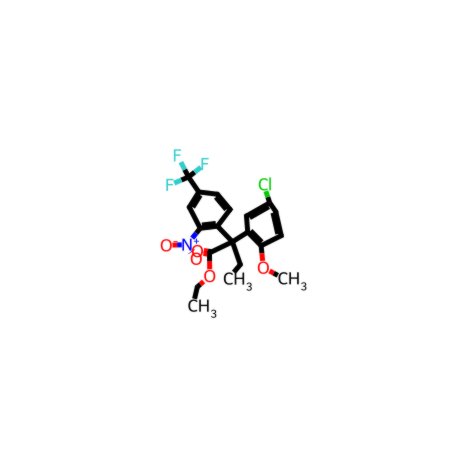 CCOC(=O)C(CC)(c1cc(Cl)ccc1OC)c1ccc(C(F)(F)F)cc1[N+](=O)[O-]